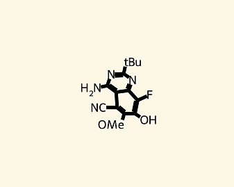 COc1c(O)c(F)c2nc(C(C)(C)C)nc(N)c2c1C#N